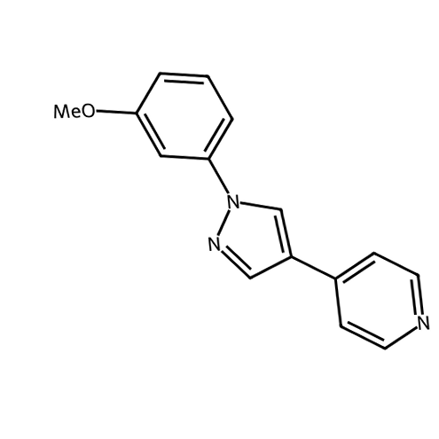 COc1cccc(-n2cc(-c3ccncc3)cn2)c1